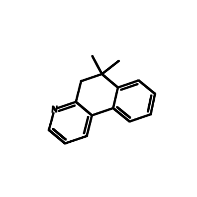 CC1(C)Cc2ncccc2-c2ccccc21